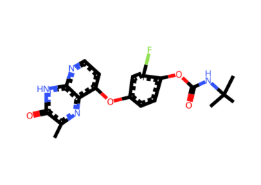 Cc1nc2c(Oc3ccc(OC(=O)NC(C)(C)C)c(F)c3)ccnc2[nH]c1=O